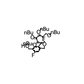 CCCCOC[C@H]1S[C@]2(OCc3cc(F)c(CO)cc32)[C@H](OCCCC)[C@@H](OCCCC)[C@@H]1OCCCC